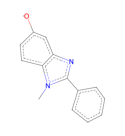 Cn1c(-c2ccccc2)nc2cc([O])ccc21